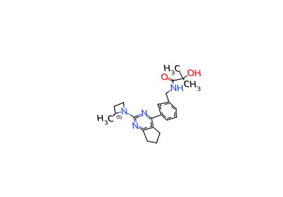 C[C@H]1CCN1c1nc2c(c(-c3cccc(CNC(=O)C(C)(C)O)c3)n1)CCC2